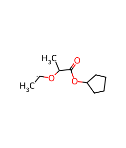 C[CH]OC(C)C(=O)OC1CCCC1